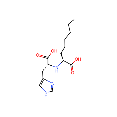 CCCCCC[C@H](N[C@H](Cc1c[nH]cn1)C(=O)O)C(=O)O